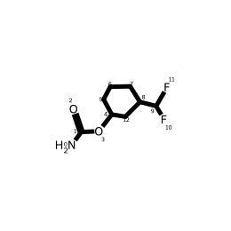 NC(=O)OC1CCCC(C(F)F)C1